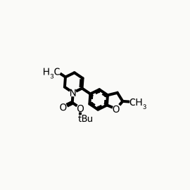 CC1CC=C(c2ccc3c(c2)CC(C)O3)N(C(=O)OC(C)(C)C)C1